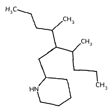 CCCC(C)C(CC1CCCCN1)C(C)CCC